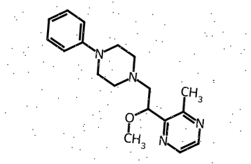 COC(CN1CCN(c2ccccc2)CC1)c1nccnc1C